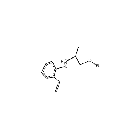 C=Cc1ccccc1O[SiH2]C(C)COCC